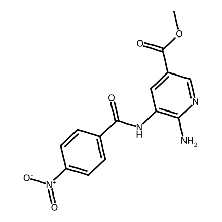 COC(=O)c1cnc(N)c(NC(=O)c2ccc([N+](=O)[O-])cc2)c1